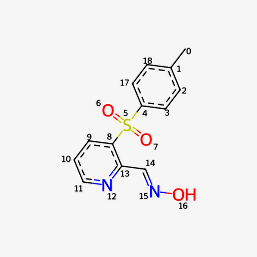 Cc1ccc(S(=O)(=O)c2cccnc2C=NO)cc1